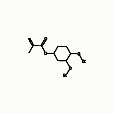 C=C(C)C(=O)OC1CCC(OCC)C(OCC)C1